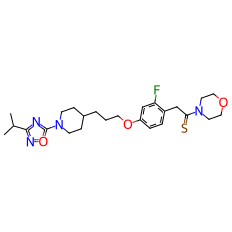 CC(C)c1noc(N2CCC(CCCOc3ccc(CC(=S)N4CCOCC4)c(F)c3)CC2)n1